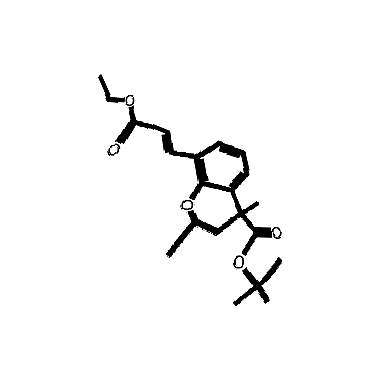 CCOC(=O)/C=C/c1cccc2c1OC(C)CC2(C)C(=O)OC(C)(C)C